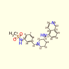 CS(=O)(=O)Nc1cccc(CN2CCC[C@@H](Nc3cccc4cnccc34)C2)c1